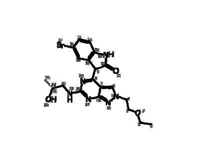 CCOCCn1cc2c(C3C(=O)Nc4ccc(Br)cc43)nc(NC[C@@H](C)O)nc2n1